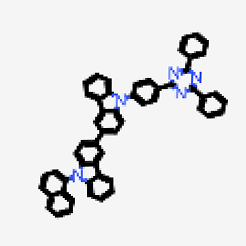 c1ccc(-c2nc(-c3ccccc3)nc(-c3ccc(-n4c5ccccc5c5cc(-c6ccc7c(c6)c6ccccc6n7-c6cccc7ccccc67)ccc54)cc3)n2)cc1